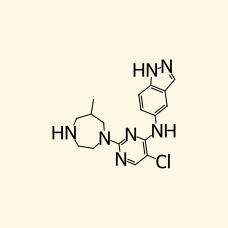 CC1CNCCN(c2ncc(Cl)c(Nc3ccc4[nH]ncc4c3)n2)C1